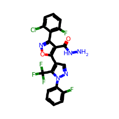 NNC(=O)c1c(-c2c(F)cccc2Cl)noc1-c1cnn(-c2ccccc2F)c1C(F)(F)F